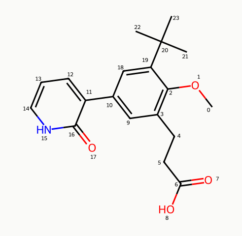 COc1c(CCC(=O)O)cc(-c2ccc[nH]c2=O)cc1C(C)(C)C